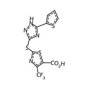 O=C(O)c1sc(Sc2n[nH]c(-c3cccs3)n2)nc1C(F)(F)F